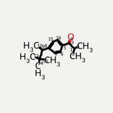 CC(C)C(=O)c1ccc(C(C)C(C)(C)C)cc1